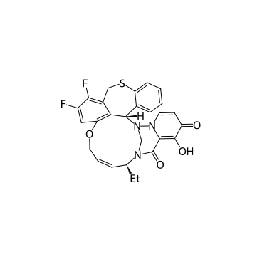 CC[C@H]1/C=C\COc2cc(F)c(F)c3c2[C@H](c2ccccc2SC3)N2CN1C(=O)c1c(O)c(=O)ccn12